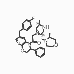 CC1COCCN1C[C@H]1CN[C@H](C)CN1CC(=O)N1c2cc(Cc3ccc(F)cc3)cnc2OCC1c1ccccc1